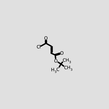 CC(C)(C)OC(=O)C=CC(=O)Cl